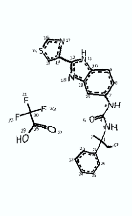 CC(C)(NC(=O)Nc1ccc2[nH]c(-c3cscn3)nc2c1)c1ccccc1.O=C(O)C(F)(F)F